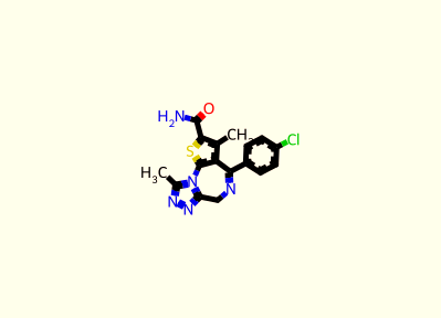 Cc1c(C(N)=O)sc2c1C(c1ccc(Cl)cc1)=NCc1nnc(C)n1-2